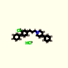 Cl.Clc1cc(CCCN2CC=C(c3ccccc3)CC2)ccc1C1CCCCC1